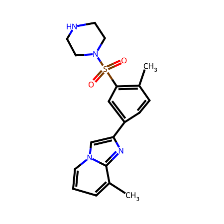 Cc1ccc(-c2cn3cccc(C)c3n2)cc1S(=O)(=O)N1CCNCC1